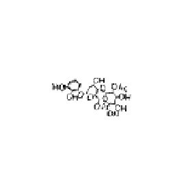 CC(=O)OC[C@H]1O[C@@H](Oc2cccc(O)c2O)C[C@@H](O)[C@@H]1O[C@@H]1O[C@H](CO)[C@H](O)[C@H](O)[C@H]1OC(C)=O